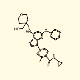 Cc1cc(-c2cnn3c(NCC4(CO)CCOCC4)cc(Oc4cccnc4)nc23)ccc1C(=O)NC1CC1